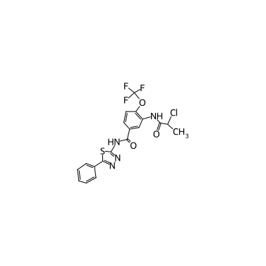 CC(Cl)C(=O)Nc1cc(C(=O)Nc2nnc(-c3ccccc3)s2)ccc1OC(F)(F)F